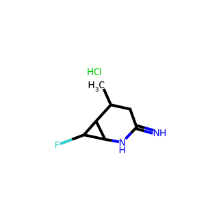 CC1CC(=N)NC2C(F)C12.Cl